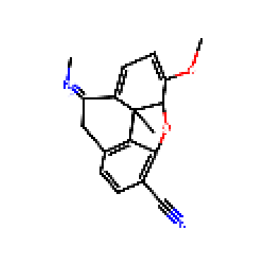 C/N=C1/Cc2ccc(C#N)c3c2C2(C)C1=CC=C(OC)C2O3